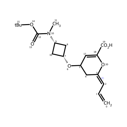 C=C/C=C1\CC(O[C@H]2C[C@@H](N(C)C(=O)OC(C)(C)C)C2)C=C(C(=O)O)O1